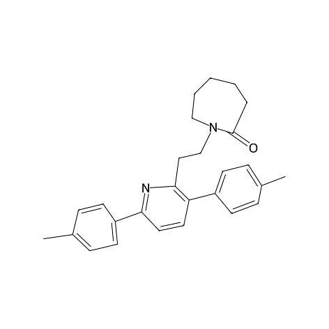 Cc1ccc(-c2ccc(-c3ccc(C)cc3)c(CCN3CCCCCC3=O)n2)cc1